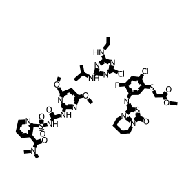 CCNc1nc(Cl)nc(NC(C)C)n1.COC(=O)CSc1cc(/N=c2\sc(=O)n3n2CCCC3)c(F)cc1Cl.COc1cc(OC)nc(NC(=O)NS(=O)(=O)c2ncccc2C(=O)N(C)C)n1